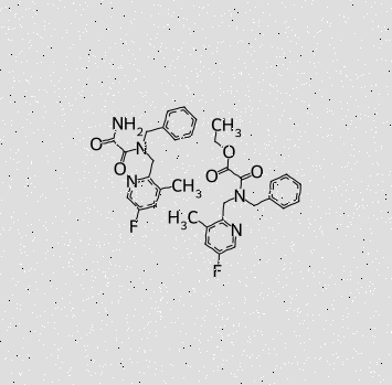 CCOC(=O)C(=O)N(Cc1ccccc1)Cc1ncc(F)cc1C.Cc1cc(F)cnc1CN(Cc1ccccc1)C(=O)C(N)=O